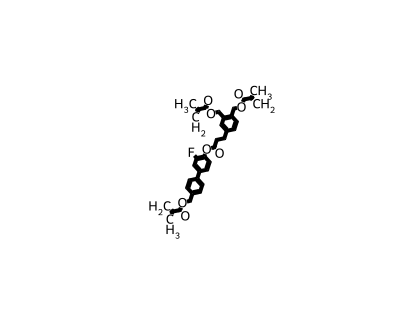 C=C(C)C(=O)OCc1ccc(-c2ccc(OC(=O)CCc3ccc(COC(=O)C(=C)C)c(COC(=O)C(=C)C)c3)c(F)c2)cc1